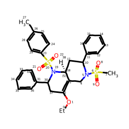 CCOC1=C2CN(S(C)(=O)=O)C(c3ccccc3)C[C@@H]2N(S(=O)(=O)c2ccc(C)cc2)C(c2ccccc2)C1